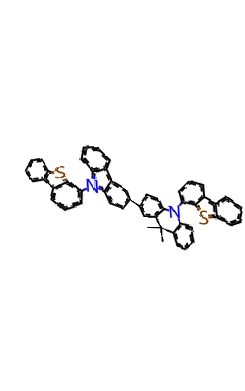 CC1(C)c2ccccc2N(c2cccc3c2sc2ccccc23)c2ccc(-c3ccc4c(c3)c3ccccc3n4-c3cccc4c3sc3ccccc34)cc21